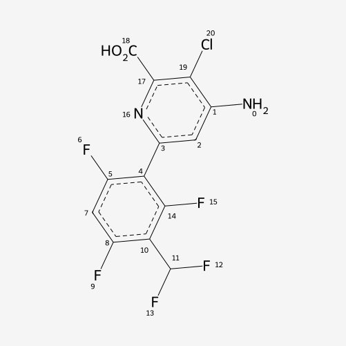 Nc1cc(-c2c(F)cc(F)c(C(F)F)c2F)nc(C(=O)O)c1Cl